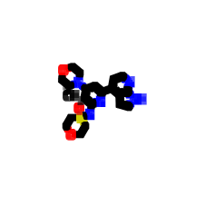 C[C@@H]1COCCN1c1cc(N=S2(=O)CCOCC2)nc(-c2ccnc3[nH]ccc23)c1